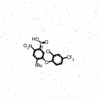 CC(C)(C)c1cc([N+](=O)[O-])c([PH](=O)O)cc1Oc1ccc(C(F)(F)F)cc1Cl